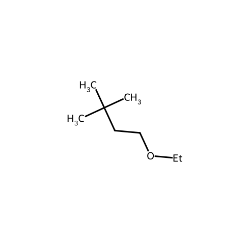 [CH2]COCCC(C)(C)C